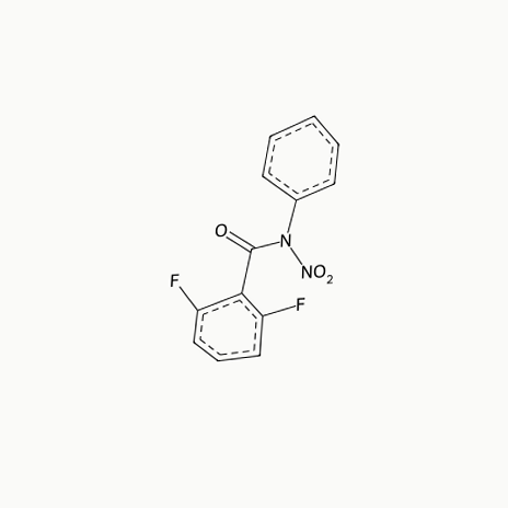 O=C(c1c(F)cccc1F)N(c1ccccc1)[N+](=O)[O-]